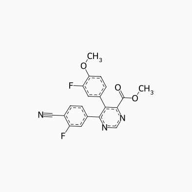 COC(=O)c1ncnc(-c2ccc(C#N)c(F)c2)c1-c1ccc(OC)c(F)c1